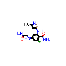 Cc1cc(Nc2cc(NCC(N)=O)cc(F)c2C(N)=O)sn1